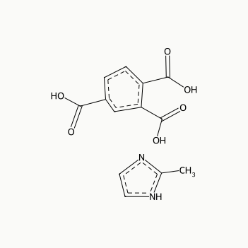 Cc1ncc[nH]1.O=C(O)c1ccc(C(=O)O)c(C(=O)O)c1